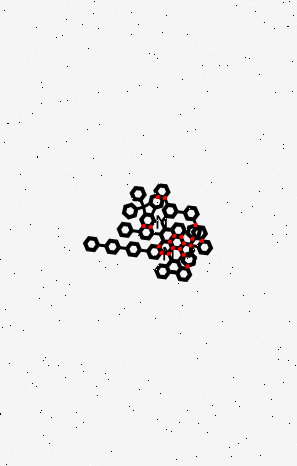 c1ccc(-c2ccc(-c3ccc(-c4ccc(N(c5cccc6c5-c5ccccc5C6(c5ccccc5)c5ccccc5)c5c(-c6ccc(-c7cccc(-c8cccc(-c9cc(-c%10ccccc%10)cc(N(c%10cccc%11c%10-c%10ccccc%10C%11(c%10ccccc%10)c%10ccccc%10)c%10c(-c%11ccc(-c%12ccccc%12)cc%11)c%11ccccc%11c%11ccccc%10%11)c9)c8)c7)cc6)c6ccccc6c6ccccc56)cc4)cc3)cc2)cc1